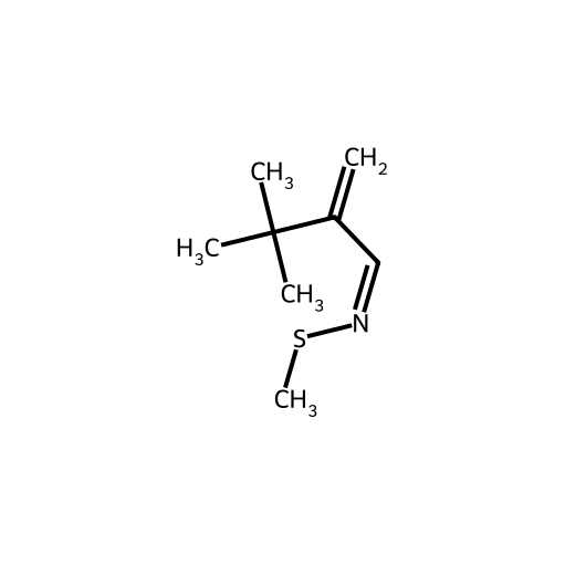 C=C(/C=N\SC)C(C)(C)C